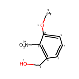 CC(C)Oc1cccc(CO)c1[N+](=O)[O-]